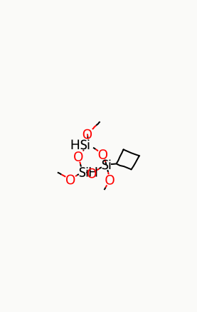 CO[SiH]1O[SiH](OC)O[Si](OC)(C2CCC2)O1